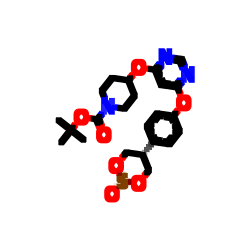 CC(C)(C)OC(=O)N1CCC(Oc2cc(Oc3ccc([C@H]4CO[S@@](=O)OC4)cc3)ncn2)CC1